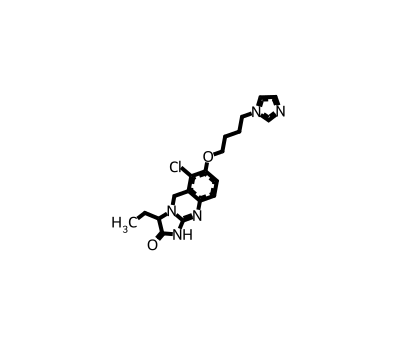 CCC1C(=O)NC2=Nc3ccc(OCCCCn4ccnc4)c(Cl)c3CN21